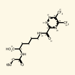 CC(C)(C)OC(=O)NC(CCCCNC(=O)c1nnc(C(F)(F)F)c(C(F)(F)F)n1)C(=O)O